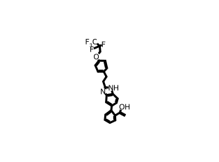 C=C(O)c1ccccc1-c1ccc2[nH]c(CCc3ccc(OCC(F)(F)C(F)(F)F)cc3)nc2c1